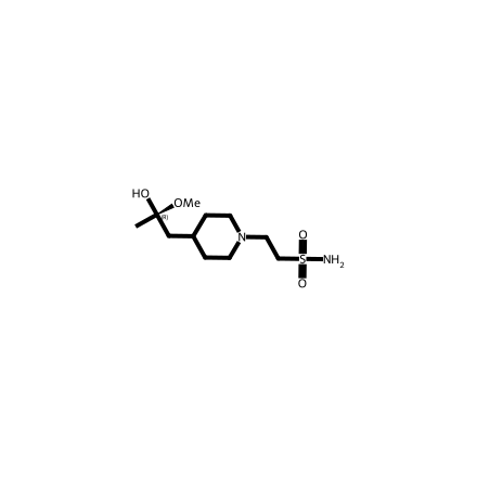 CO[C@@](C)(O)CC1CCN(CCS(N)(=O)=O)CC1